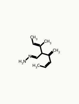 C=C(/C=C\C)C(/C=N/N)/C(C)=C/C